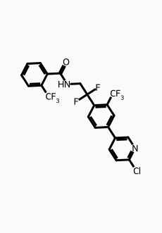 O=C(NCC(F)(F)c1ccc(-c2ccc(Cl)nc2)cc1C(F)(F)F)c1ccccc1C(F)(F)F